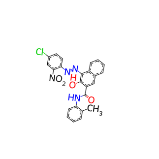 Cc1ccccc1NC(=O)c1cc2ccccc2c(N=Nc2ccc(Cl)cc2[N+](=O)[O-])c1O